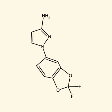 Nc1ccn(-c2ccc3c(c2)OC(F)(F)O3)n1